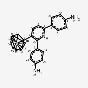 Nc1ccc(-c2ccc([C]34[CH]5[CH]6[CH]7[CH]3[Fe]6754389%10[CH]4[CH]3[CH]8[CH]9[CH]4%10)c(-c3ccc(N)cc3)n2)cc1